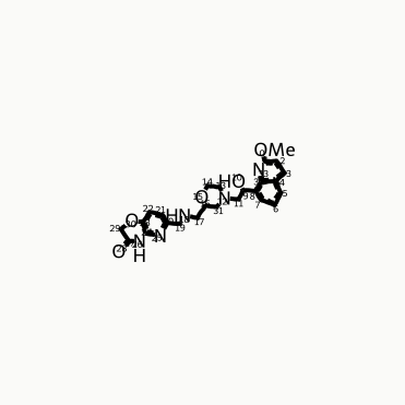 COc1ccc2cccc(C(O)CN3CCOC(CNCc4ccc5c(n4)NC(=O)CO5)C3)c2n1